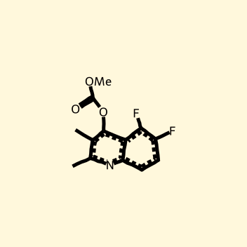 COC(=O)Oc1c(C)c(C)nc2ccc(F)c(F)c12